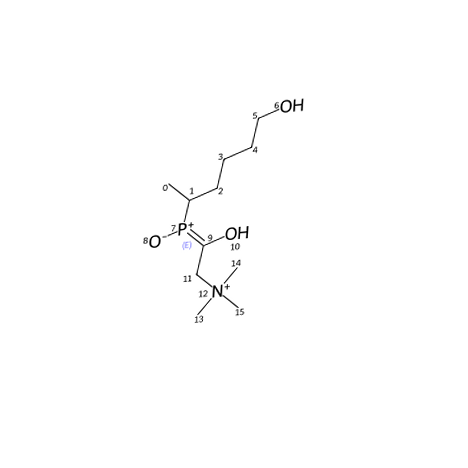 CC(CCCCO)/[P+]([O-])=C(\O)C[N+](C)(C)C